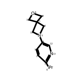 CC(C)c1ccc(N2CC3(COC3)C2)cn1